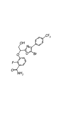 NC(=O)c1cccc(OC(CO)c2nc(-c3ccc(C(F)(F)F)cc3)c(Br)o2)c1F